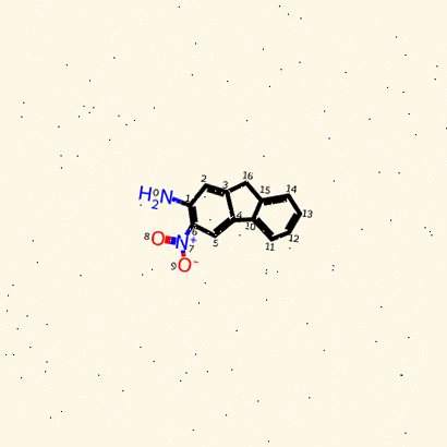 Nc1cc2c(cc1[N+](=O)[O-])-c1ccccc1C2